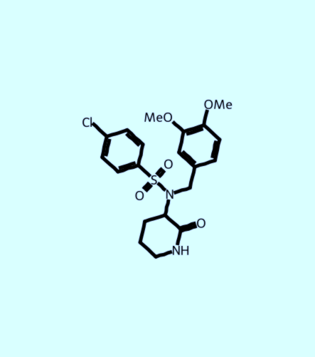 COc1ccc(CN(C2CCCNC2=O)S(=O)(=O)c2ccc(Cl)cc2)cc1OC